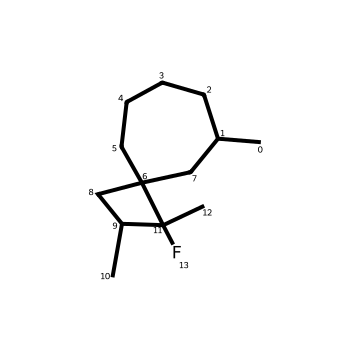 CC1CCCCC2(C1)CC(C)C2(C)F